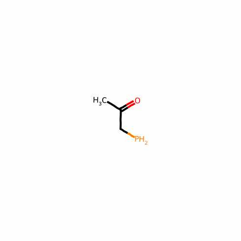 CC(=O)CP